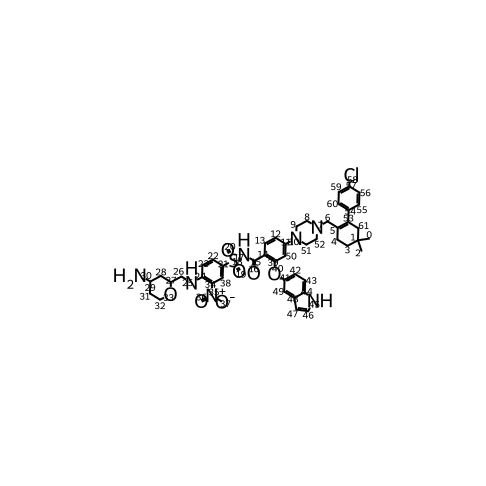 CC1(C)CCC(CN2CCN(c3ccc(C(=O)NS(=O)(=O)c4ccc(NCC5CC(N)CCO5)c([N+](=O)[O-])c4)c(Oc4ccc5[nH]ccc5c4)c3)CC2)=C(c2ccc(Cl)cc2)C1